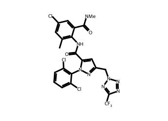 CNC(=O)c1cc(Cl)cc(C)c1NC(=O)c1cc(Cn2nnc(C(F)(F)F)n2)nn1-c1c(Cl)cccc1Cl